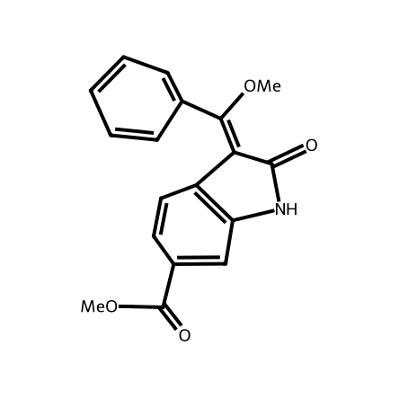 COC(=O)c1ccc2c(c1)NC(=O)C2=C(OC)c1ccccc1